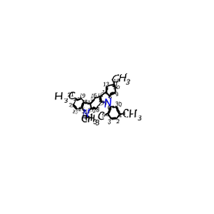 Cc1ccc(C)c(-n2c3ccc(C)cc3c3cc4c5cc(C)ccc5n(C)c4cc32)c1